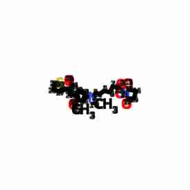 CCN(CCCCCC(=O)ON1C(=O)CCC1=O)c1ccc(/C=C(\C=O)c2cccs2)c(OC)c1